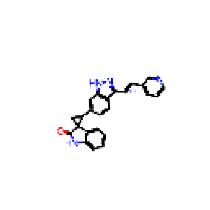 O=C1Nc2ccccc2C12CC2c1ccc2c(/C=C/c3cccnc3)n[nH]c2c1